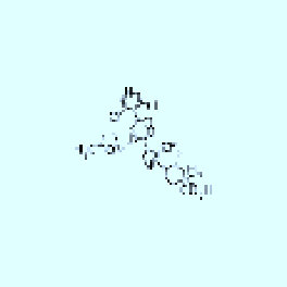 C[C@H]1CC[C@H](CN(CC(=O)c2c(Cl)cncc2Cl)C(=O)c2cnn([C@H]3CC[C@](C)(C(=O)O)CC3)c2C(F)(F)F)O1